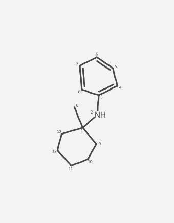 CC1(Nc2ccccc2)CCCCC1